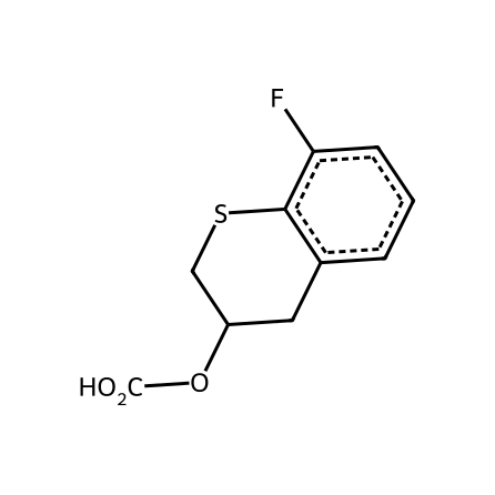 O=C(O)OC1CSc2c(F)cccc2C1